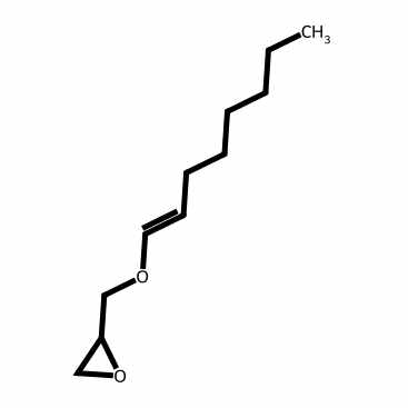 CCCCCC/C=C/OCC1CO1